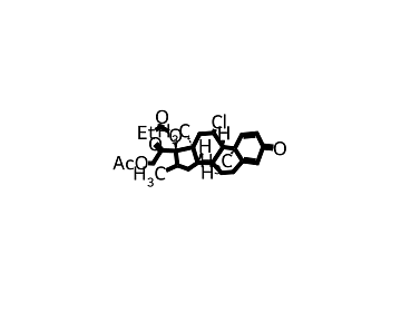 CCC(=O)O[C@]1(C(=O)COC(C)=O)C(C)C[C@H]2[C@@H]3CCC4=CC(=O)C=C[C@]4(C)[C@H]3C(Cl)C[C@@]21C